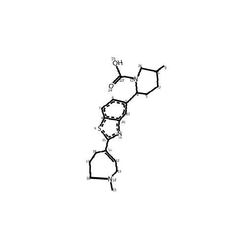 CC1CCC(c2ccc3sc(C4=CCN(C)CCC4)nc3c2)N(C(=O)O)C1